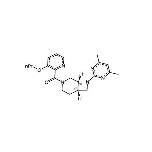 CCCOc1cccnc1C(=O)N1CC[C@H]2CN(c3nc(C)cc(C)n3)[C@H]2C1